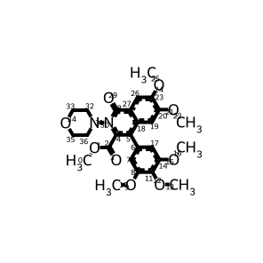 COC(=O)c1c(-c2cc(OC)c(OC)c(OC)c2)c2cc(OC)c(OC)cc2c(=O)n1N1CCOCC1